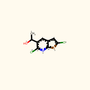 CC(O)c1cc2cc(Cl)sc2nc1Cl